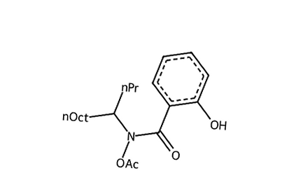 CCCCCCCCC(CCC)N(OC(C)=O)C(=O)c1ccccc1O